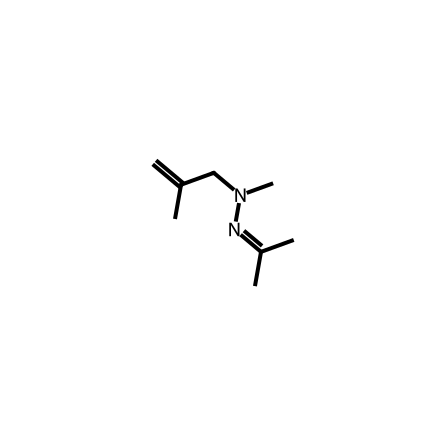 C=C(C)CN(C)N=C(C)C